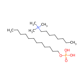 CCCCCCCCCCCCOP(=O)(O)O.CCCCCCCC[N+](C)(C)C